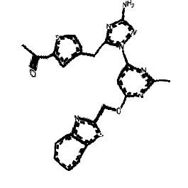 CC(=O)c1cc(Cc2nc(N)nn2-c2cc(OCc3nc4ccccc4s3)nc(C)n2)cs1